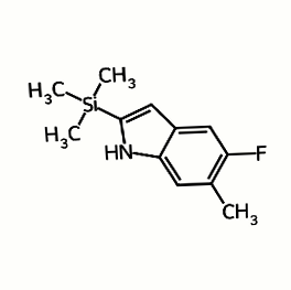 Cc1cc2[nH]c([Si](C)(C)C)cc2cc1F